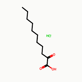 CCCCCCCCCC(=O)C(=O)O.Cl